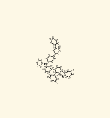 c1ccc(N(c2ccc(-c3ccc4sc5ccccc5c4c3)cc2)c2ccc(-c3ccccc3-c3cccc4c3sc3ccccc34)cc2)cc1